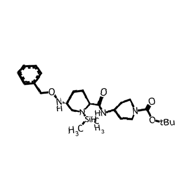 C[SiH](C)N1C[C@H](NOCc2ccccc2)CC[C@H]1C(=O)NC1CCN(C(=O)OC(C)(C)C)CC1